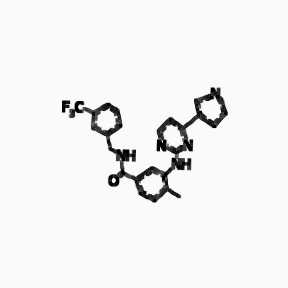 Cc1ccc(C(=O)NCc2cccc(C(F)(F)F)c2)cc1Nc1nccc(-c2cccnc2)n1